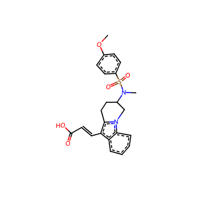 COc1ccc(S(=O)(=O)N(C)C2CCc3c(C=CC(=O)O)c4ccccc4n3C2)cc1